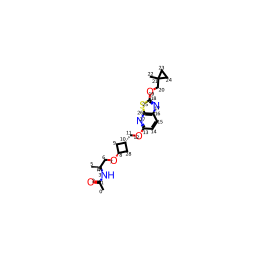 CC(=O)N[C@@H](C)CO[C@H]1C[C@H](COc2ccc3nc(OCC4(C)CC4)sc3n2)C1